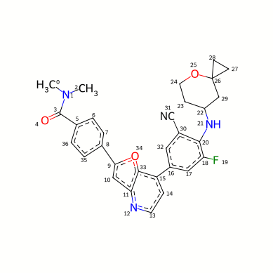 CN(C)C(=O)c1ccc(-c2cc3nccc(-c4cc(F)c(NC5CCOC6(CC6)C5)c(C#N)c4)c3o2)cc1